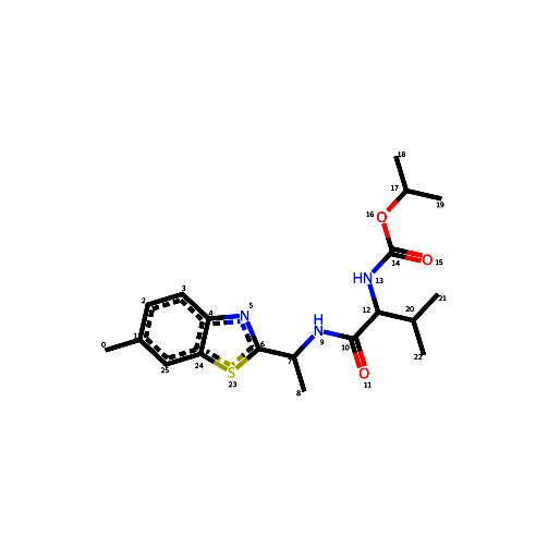 Cc1ccc2nc(C(C)NC(=O)C(NC(=O)OC(C)C)C(C)C)sc2c1